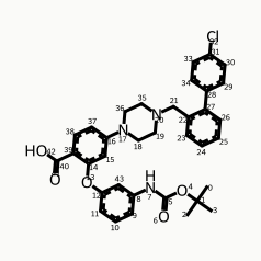 CC(C)(C)OC(=O)Nc1cccc(Oc2cc(N3CCN(Cc4ccccc4-c4ccc(Cl)cc4)CC3)ccc2C(=O)O)c1